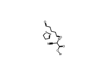 C1=NSCC1.N#CC(Br)C(=O)OBr.O=CCCCC=O